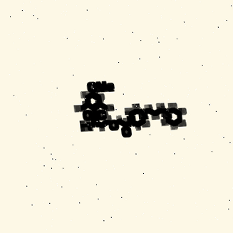 CCN(CCOCC(=O)N1CCN(CCCN2CCCCC2)CC1)S(=O)(=O)c1c(C)cc(OC)cc1C